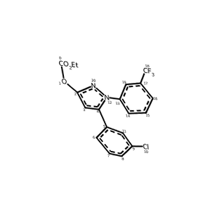 CCOC(=O)Oc1cc(-c2cccc(Cl)c2)n(-c2cccc(C(F)(F)F)c2)n1